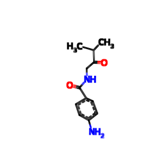 CC(C)C(=O)CNC(=O)c1ccc(N)cc1